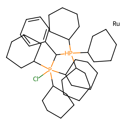 ClP(C1CCCCC1)(C1CCCCC1)(C1CCCCC1)C(c1ccccc1)[PH](C1CCCCC1)(C1CCCCC1)C1CCCCC1.[Ru]